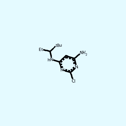 CCC(Nc1cc(N)nc(Cl)n1)C(C)(C)C